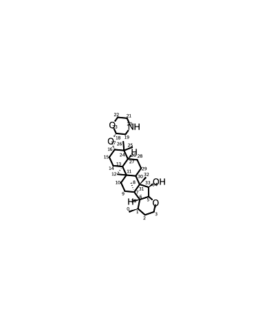 C[C@@H]1CCOC2[C@H]1[C@@]1(C)CCC34C[C@@]35CC[C@H](O[C@H]3CNCCO3)C(C)(C)[C@@H]5CCC4[C@]1(C)[C@H]2O